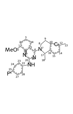 COc1cccc2c(N3CCc4cc(C)ccc4C3C)nc(Nc3ccc(F)cc3)nc12